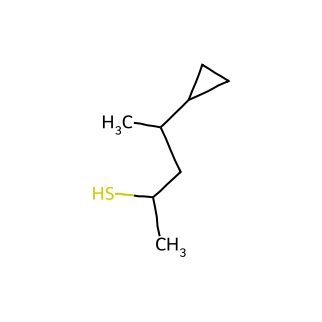 CC(S)CC(C)C1CC1